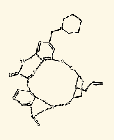 C=CCN1C2CCC1Cn1sc3c(cccc3c1=O)-c1nc3c(cc(CN4CCCCC4)cc3[nH]c1=O)OC2